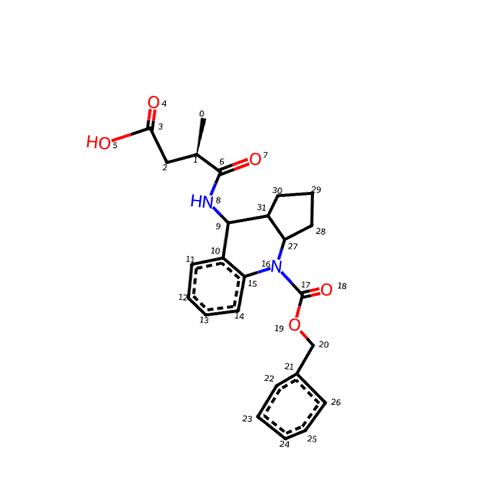 C[C@H](CC(=O)O)C(=O)NC1c2ccccc2N(C(=O)OCc2ccccc2)C2CCCC12